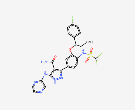 COCC(Oc1cc(-c2n[nH]c(Nc3cnccn3)c2C(N)=O)ccc1NS(=O)(=O)C(F)F)c1ccc(F)cc1